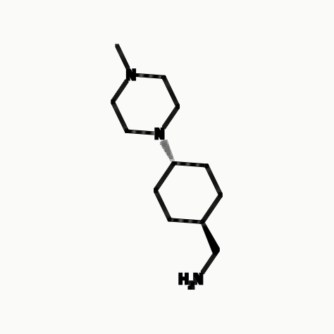 CN1CCN([C@H]2CC[C@H](CN)CC2)CC1